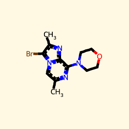 Cc1cn2c(Br)c(C)nc2c(N2CCOCC2)n1